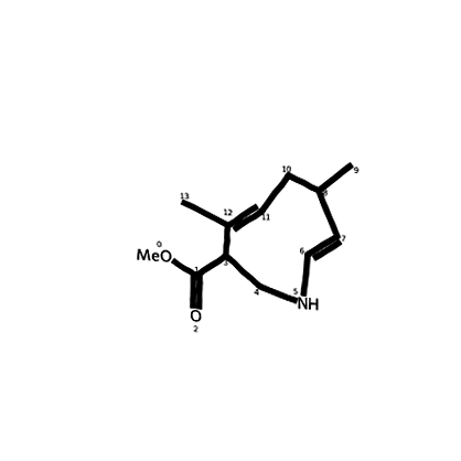 COC(=O)C1CN/C=C/C(C)C/C=C/1C